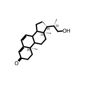 C[C@H](CO)[C@H]1CCC2C3C=CC4=CC(=O)CC[C@]4(C)C3CC[C@@]21C